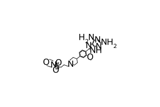 COc1cc(C2CCN(CCCS(=O)(=O)N3CCOCC3)CC2)ccc1-c1nc2c(N)nc(N)nc2[nH]1